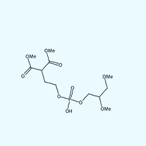 COCC(COP(=O)(O)OCCC(C(=O)OC)C(=O)OC)OC